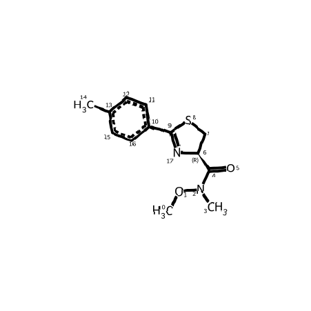 CON(C)C(=O)[C@@H]1CSC(c2ccc(C)cc2)=N1